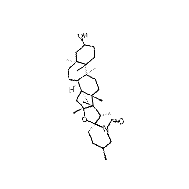 C[C@H]1CC[C@@]2(O[C@]3(C)C[C@@]4(C)[C@H]5CC[C@@]6(C)C[C@@H](O)CC[C@]6(C)[C@@]5(C)CC[C@]4(C)[C@]3(C)[C@@H]2C)N(C=O)C1